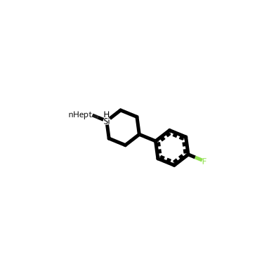 CCCCCCC[SiH]1CCC(c2ccc(F)cc2)CC1